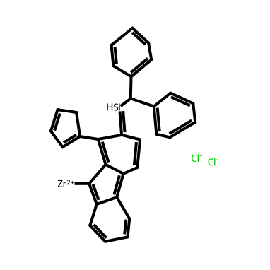 [Cl-].[Cl-].[Zr+2][C]1=c2ccccc2=c2ccc(=[SiH]C(c3ccccc3)c3ccccc3)c(C3=CC=CC3)c21